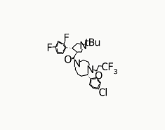 CC(C)(C)N1C[C@@H](C(=O)N2CCC[C@@H](c3ccc(Cl)cc3)N(C(=O)CC(F)(F)F)CC2)[C@H](c2ccc(F)cc2F)C1